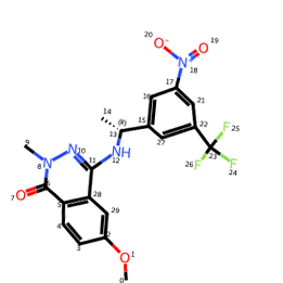 COc1ccc2c(=O)n(C)nc(N[C@H](C)c3cc([N+](=O)[O-])cc(C(F)(F)F)c3)c2c1